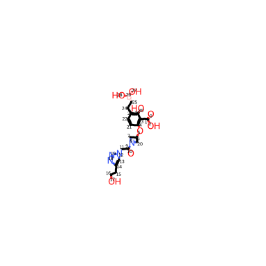 O=C(O)c1c(OC2CN(C(=O)Cn3cc(CCO)nn3)C2)ccc(CCB(O)O)c1O